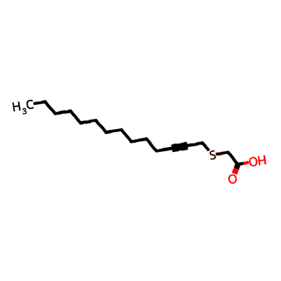 CCCCCCCCCCCC#CCSCC(=O)O